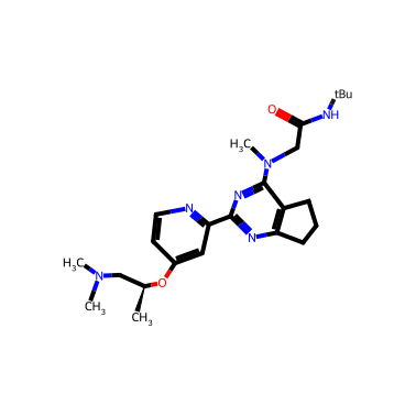 C[C@@H](CN(C)C)Oc1ccnc(-c2nc3c(c(N(C)CC(=O)NC(C)(C)C)n2)CCC3)c1